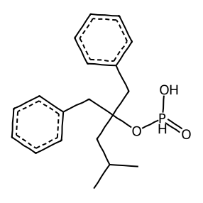 CC(C)CC(Cc1ccccc1)(Cc1ccccc1)O[PH](=O)O